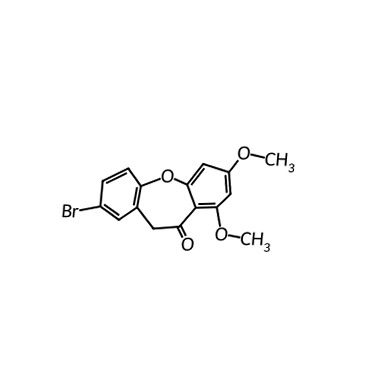 COc1cc(OC)c2c(c1)Oc1ccc(Br)cc1CC2=O